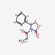 C=CC(=O)N1C(=O)OCC1c1ccccc1